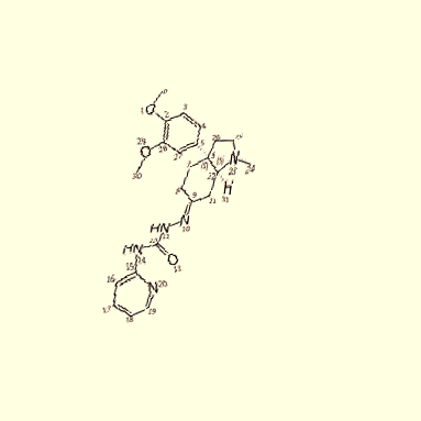 COc1ccc([C@@]23CCC(=NNC(=O)Nc4ccccn4)C[C@@H]2N(C)CC3)cc1OC